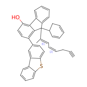 C#CC/C=C\C=C(/C)C1(C2C=CC=CC2)c2ccccc2-c2c(O)ccc(-c3ccc4sc5ccccc5c4c3)c21